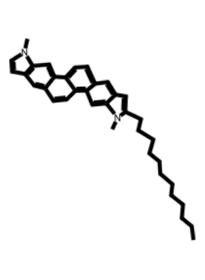 CCCCCCCCCCCCc1cc2cc3ccc4c5cc6c(ccn6C)cc5ccc4c3cc2n1C